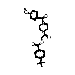 COc1ccc(C(=O)N2CCN(C(=O)COC(=O)c3ccc(C(C)(C)C)cc3)CC2)cc1